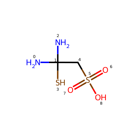 NC(N)(S)CS(=O)(=O)O